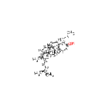 CCC[C@@H]1[C@H](O)CC[C@@]2(C)[C@H]1CC[C@@H]1[C@@H]2CC[C@]2(C)[C@@H]([C@@H](C)CCCC(C)C)CC[C@@H]12